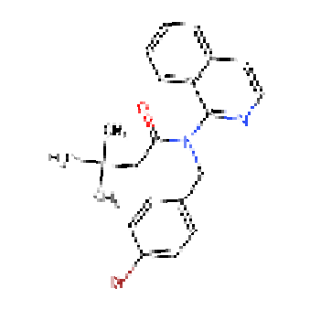 CC(C)(C)CC(=O)N(Cc1ccc(Br)cc1)c1nccc2ccccc12